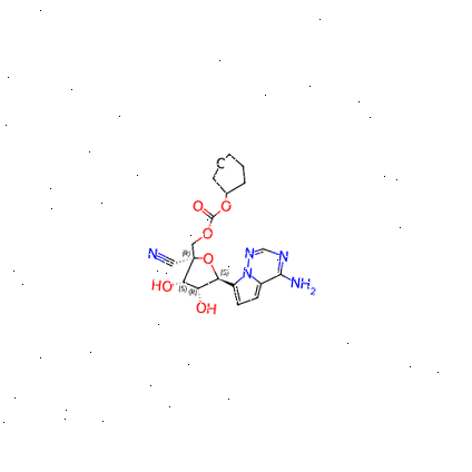 N#C[C@]1(COC(=O)OC2CCCCC2)O[C@@H](c2ccc3c(N)ncnn23)[C@H](O)[C@@H]1O